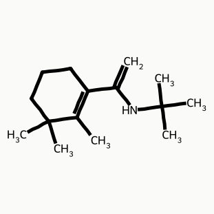 C=C(NC(C)(C)C)C1=C(C)C(C)(C)CCC1